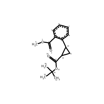 COC(=O)c1ccccc1C1CC1C(=O)OC(C)(C)C